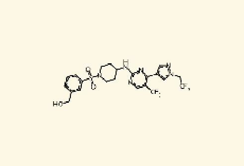 O=S(=O)(c1cccc(CO)c1)N1CCC(Nc2ncc(C(F)(F)F)c(-c3cnn(CC(F)(F)F)c3)n2)CC1